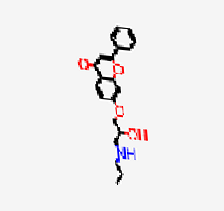 CCCNCC(O)COc1ccc2c(=O)cc(-c3ccccc3)oc2c1